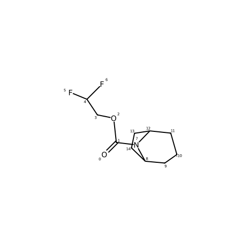 O=C(OCC(F)F)N1C2C[CH]CC1CC2